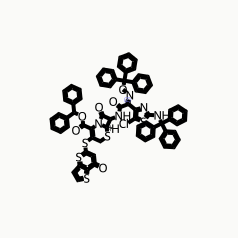 O=C(OC(c1ccccc1)c1ccccc1)C1=C(Sc2cc(=O)c3sccc3s2)CS[C@@H]2C(NC(=O)/C(=N\OC(c3ccccc3)(c3ccccc3)c3ccccc3)c3nc(NC(c4ccccc4)(c4ccccc4)c4ccccc4)sc3Cl)C(=O)N12